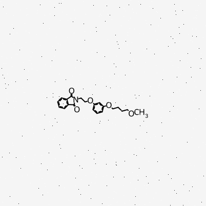 COCCCCOc1cccc(OCCN2C(=O)c3ccccc3C2=O)c1